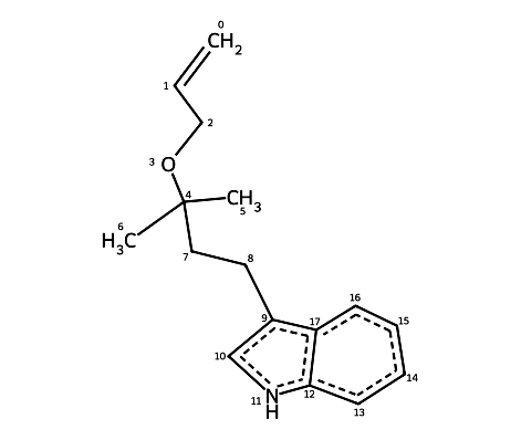 C=CCOC(C)(C)CCc1c[nH]c2ccccc12